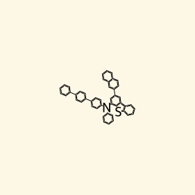 c1ccc(-c2ccc(-c3ccc(N(c4ccccc4)c4cc(-c5ccc6ccccc6c5)cc5c4sc4ccccc45)cc3)cc2)cc1